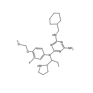 CCC(C1CCCN1)N(c1ccc(OCOC)c(F)c1)c1nc(N)nc(NCC2CCCCC2)n1